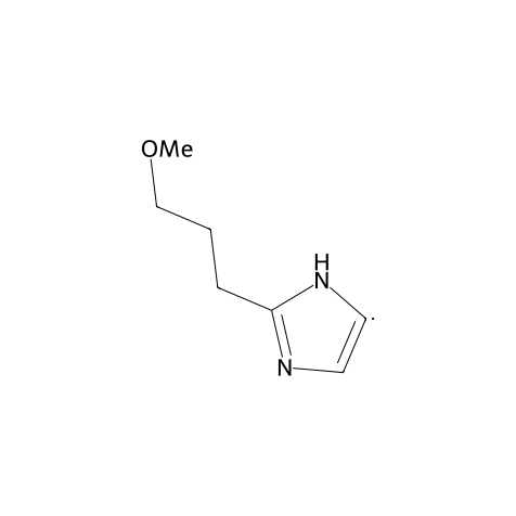 COCCCc1nc[c][nH]1